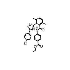 CCOC(=O)c1ccc(NC(=O)c2c(C)ccc(C)c2-c2nc(-c3ccc(Cl)cc3)no2)cc1